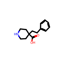 O=C(O)C1(CCc2ccccc2)CCNCC1